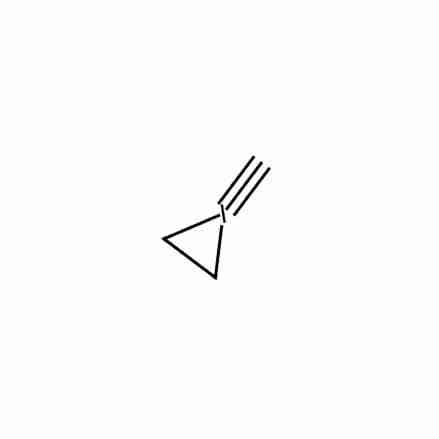 C#I1CC1